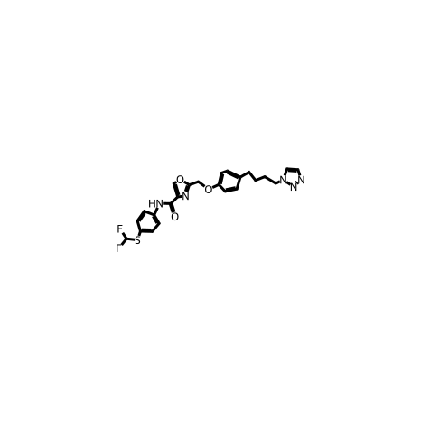 O=C(Nc1ccc(SC(F)F)cc1)c1coc(COc2ccc(CCCCn3ccnn3)cc2)n1